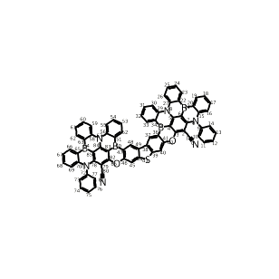 N#Cc1c2c3c4c5c1N(c1ccccc1)c1ccccc1B5c1ccccc1N4c1ccccc1B3c1cc3c(cc1O2)sc1cc2c(cc13)B1c3ccccc3N3c4ccccc4B4c5ccccc5N(c5ccccc5)c5c(C#N)c(c1c3c54)O2